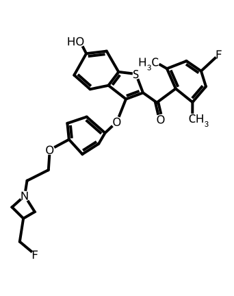 Cc1cc(F)cc(C)c1C(=O)c1sc2cc(O)ccc2c1Oc1ccc(OCCN2CC(CF)C2)cc1